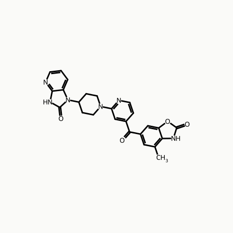 Cc1cc(C(=O)c2ccnc(N3CCC(n4c(=O)[nH]c5ncccc54)CC3)c2)cc2oc(=O)[nH]c12